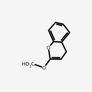 O=C(O)OC1=CCc2ccccc2O1